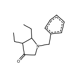 CCC1C(=O)CN(Cc2ccccc2)C1CC